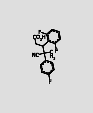 CC(C#N)(c1ccc(F)cc1)C(CC(=O)O)c1c(F)cccc1F